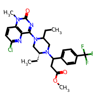 CCC1CN(C(CC(=O)OC)c2ccc(C(F)(F)F)cc2)[C@H](CC)CN1c1nc(=O)n(C)c2ccc(Cl)nc12